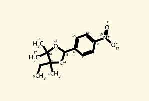 CCC1(C)OC(c2ccc([N+](=O)[O-])cc2)OC1(C)C